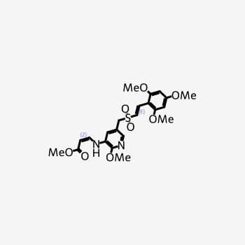 COC(=O)/C=C\Nc1cc(CS(=O)(=O)/C=C/c2c(OC)cc(OC)cc2OC)cnc1OC